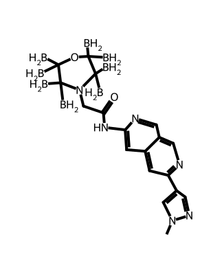 BC1(B)OC(B)(B)C(B)(B)N(CC(=O)Nc2cc3cc(-c4cnn(C)c4)ncc3cn2)C1(B)B